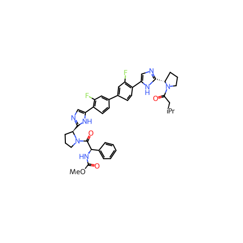 COC(=O)N[C@@H](C(=O)N1CCC[C@H]1c1ncc(-c2ccc(-c3ccc(-c4cnc([C@@H]5CCCN5C(=O)CC(C)C)[nH]4)c(F)c3)cc2F)[nH]1)c1ccccc1